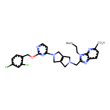 COCCn1c(CN2CC3=C(C2)CN(c2ccnc(OCc4ccc(Cl)cc4F)n2)C3)nc2ccc(C(=O)O)nc21